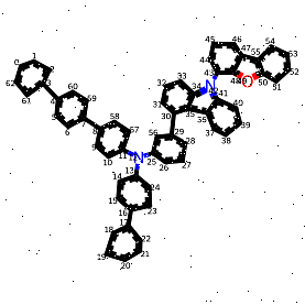 c1ccc(-c2ccc(-c3ccc(N(c4ccc(-c5ccccc5)cc4)c4cccc(-c5cccc6c5c5ccccc5n6-c5cccc6c5oc5ccccc56)c4)cc3)cc2)cc1